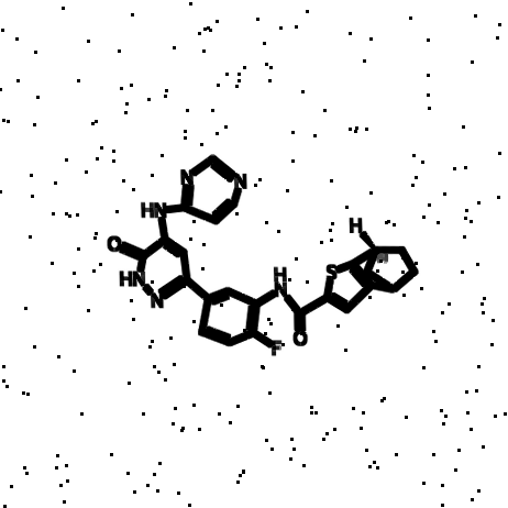 O=C(Nc1cc(-c2cc(Nc3ccncn3)c(=O)[nH]n2)ccc1F)c1cc2c(s1)[C@@H]1CCC2C1